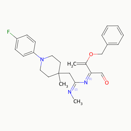 C=C(OCc1ccccc1)/C(C=O)=N\C(CC1(C)CCN(c2ccc(F)cc2)CC1)=N/C